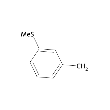 [CH2]c1cccc(SC)c1